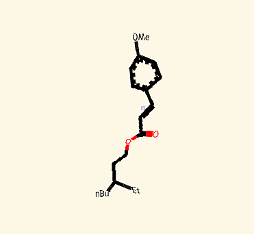 CCCCC(CC)CCOC(=O)/C=C/c1ccc(OC)cc1